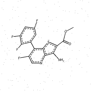 COC(=O)c1sc2c(-c3cc(F)cc(F)c3F)c(F)cnc2c1N